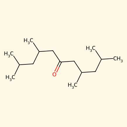 CC(C)CC(C)CC(=O)CC(C)CC(C)C